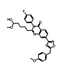 COc1ccc(Cc2nc(-c3ccc4c(=O)n(-c5ccc(F)cc5)c(CCCCC(O)OC)nc4c3)no2)cc1